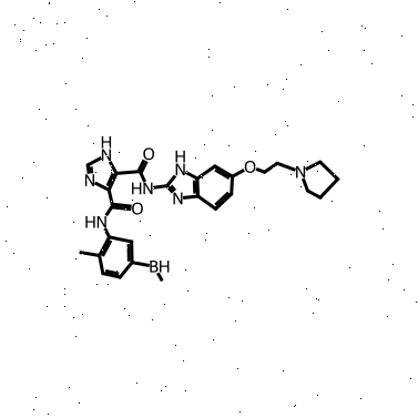 CBc1ccc(C)c(NC(=O)c2nc[nH]c2C(=O)Nc2nc3ccc(OCCN4CCCC4)cc3[nH]2)c1